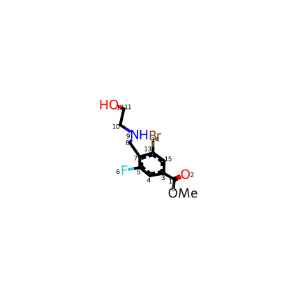 COC(=O)c1cc(F)c(CNCCO)c(Br)c1